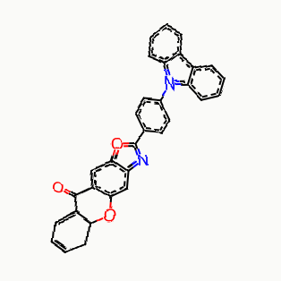 O=C1C2=CC=CCC2Oc2cc3nc(-c4ccc(-n5c6ccccc6c6ccccc65)cc4)oc3cc21